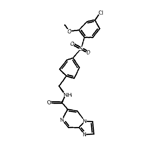 COc1cc(Cl)ccc1S(=O)(=O)c1ccc(CNC(=O)c2cn3ccnc3cn2)cc1